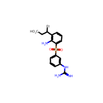 CCC(CC(=O)O)c1cccc(S(=O)(=O)c2cccc(NC(=N)N)c2)c1N